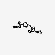 CC(C)(C)OC(=O)c1ccc(CN2CC(N)CC2=O)cc1